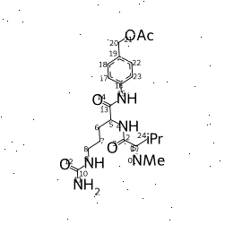 CN[C@H](C(=O)NC(CCCNC(N)=O)C(=O)Nc1ccc(COC(C)=O)cc1)C(C)C